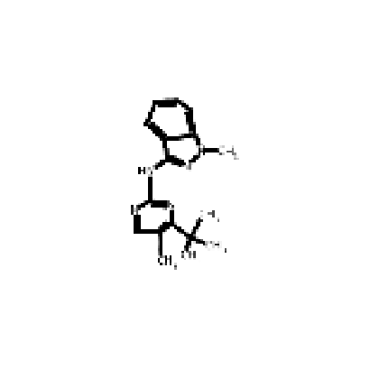 Cc1cnc(Nc2nn(C)c3ccccc23)nc1C(C)(C)C